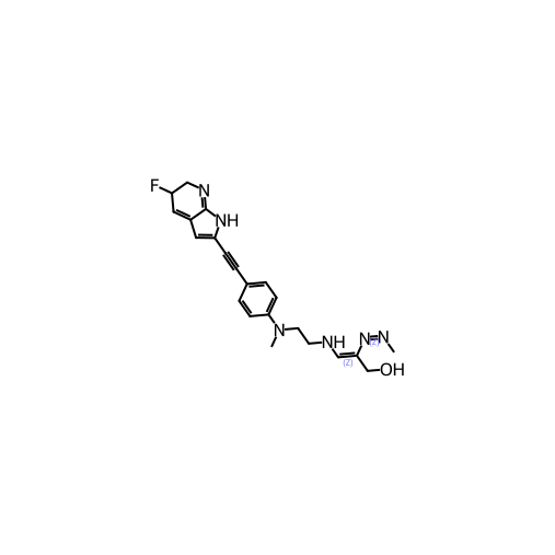 C/N=N\C(=C/NCCN(C)c1ccc(C#Cc2cc3c([nH]2)=NCC(F)C=3)cc1)CO